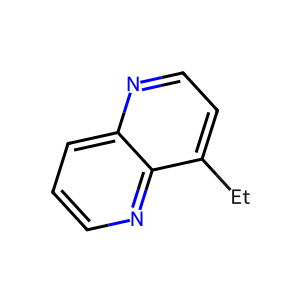 CCc1ccnc2cccnc12